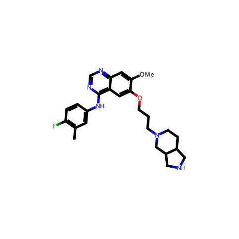 COc1cc2ncnc(Nc3ccc(F)c(C)c3)c2cc1OCCCN1CCC2CNCC2C1